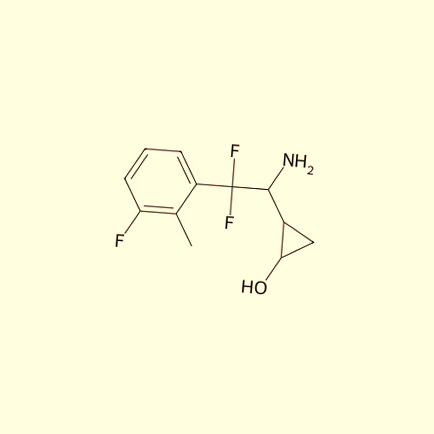 Cc1c(F)cccc1C(F)(F)C(N)C1CC1O